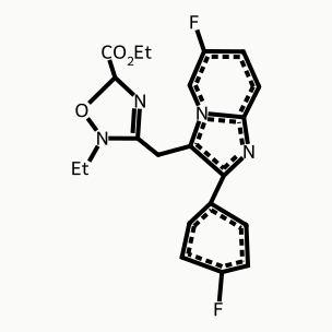 CCOC(=O)C1N=C(Cc2c(-c3ccc(F)cc3)nc3ccc(F)cn23)N(CC)O1